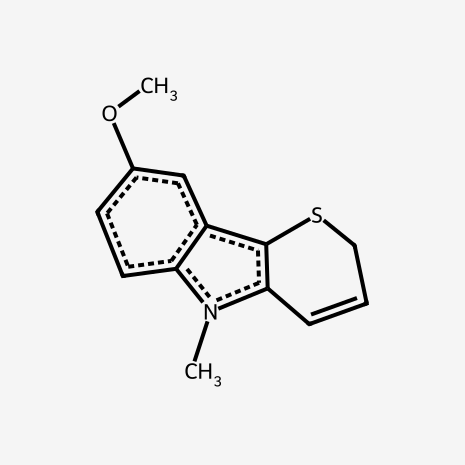 COc1ccc2c(c1)c1c(n2C)C=CCS1